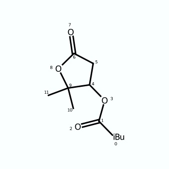 CCC(C)C(=O)OC1CC(=O)OC1(C)C